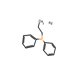 CCCP(c1ccccc1)c1ccccc1.[Pd]